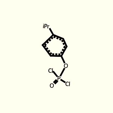 CC(C)c1ccc(OP(=O)(Cl)Cl)cc1